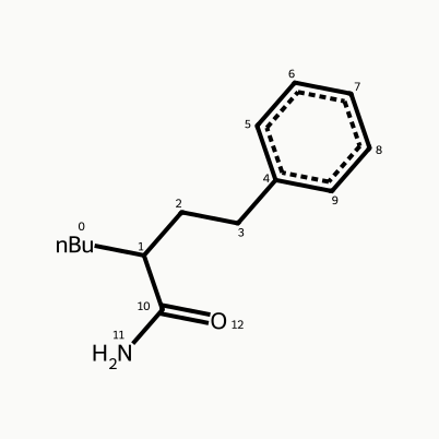 CCCCC(CCc1ccccc1)C(N)=O